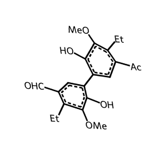 CCc1c(C=O)cc(-c2cc(C(C)=O)c(CC)c(OC)c2O)c(O)c1OC